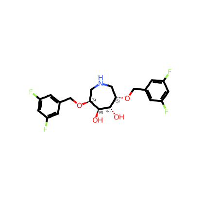 O[C@@H]1[C@@H](O)[C@@H](OCc2cc(F)cc(F)c2)CNC[C@@H]1OCc1cc(F)cc(F)c1